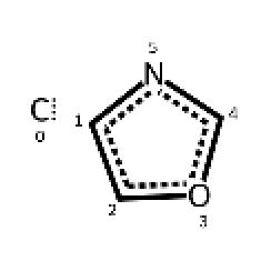 [C].c1cocn1